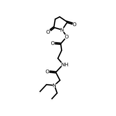 CCN(CC)CC(=O)NCCC(=O)ON1C(=O)CCC1=O